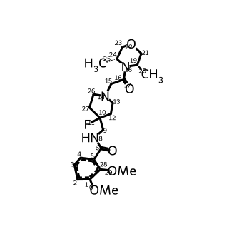 COc1cccc(C(=O)NCC2(F)CCN(CC(=O)N3[C@H](C)COC[C@H]3C)CC2)c1OC